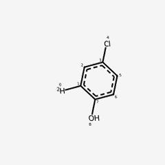 [2H]c1cc(Cl)ccc1O